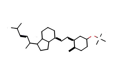 C=C1CCC(O[Si](C)(C)C(C)(C)C)C/C1=C/C=C1\CCC[C@@]2(C)C1CCC2C(C)/C=C/C(C)C(C)C